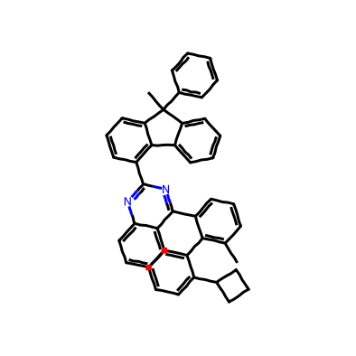 Cc1cccc(-c2nc(-c3cccc4c3-c3ccccc3C4(C)c3ccccc3)nc3ccccc23)c1-c1ccccc1C1CCC1